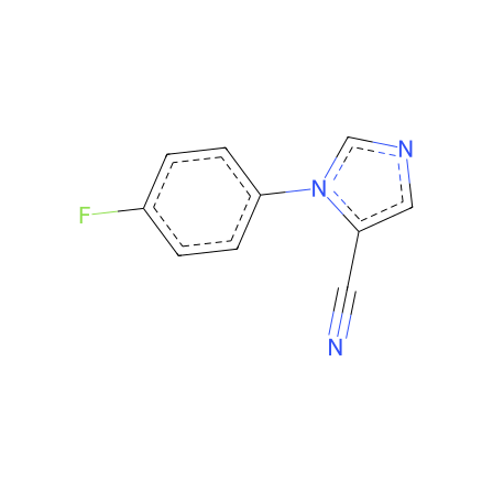 N#Cc1cncn1-c1ccc(F)cc1